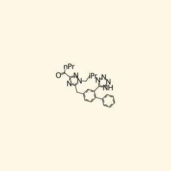 CCCC(=O)c1nc(Cc2ccc(-c3ccccc3)c(-c3nnn[nH]3)c2)n(CC(C)C)n1